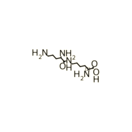 NCCCC(N)C(=O)NCCCC[C@H](N)C(=O)O